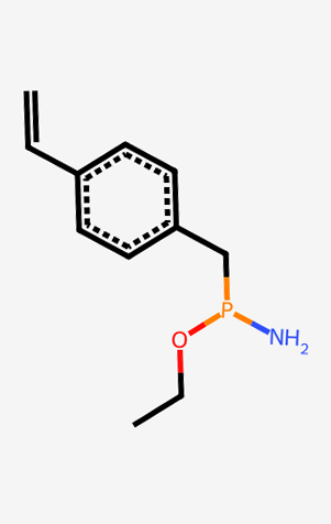 C=Cc1ccc(CP(N)OCC)cc1